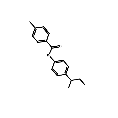 CCC(C)c1ccc(NC(=O)c2ccc(C)cc2)cc1